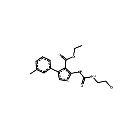 CCOC(=O)c1c(-c2cccc(C)c2)csc1NC(=O)NCCCl